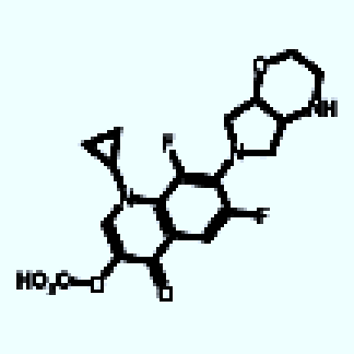 O=C(O)Oc1cn(C2CC2)c2c(F)c(N3CC4NCCOC4C3)c(F)cc2c1=O